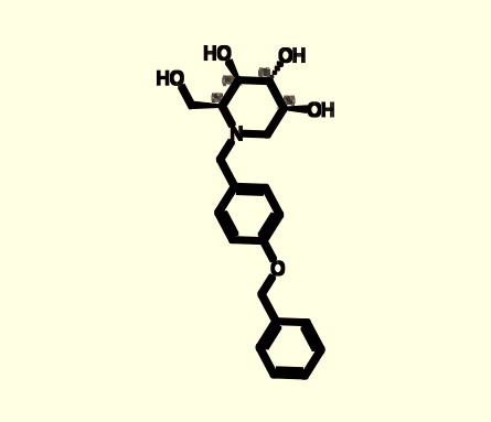 OC[C@H]1[C@@H](O)[C@H](O)[C@@H](O)CN1Cc1ccc(OCc2ccccc2)cc1